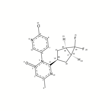 Cc1cc(=O)n(-c2ccc(Cl)nc2)c([C@H]2C[C@@H]3[C@H](C2)C3(F)F)n1